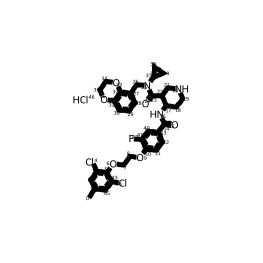 Cc1cc(Cl)c(OCCOc2ccc(C(=O)NC3CCNCC3C(=O)N(Cc3cccc4c3OCCO4)C3CC3)cc2F)c(Cl)c1.Cl